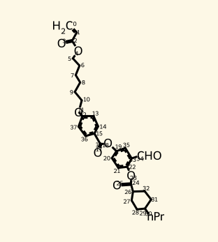 C=CC(=O)OCCCCCCOc1ccc(C(=O)Oc2ccc(OC(=O)C3CCC(CCC)CC3)c(C=O)c2)cc1